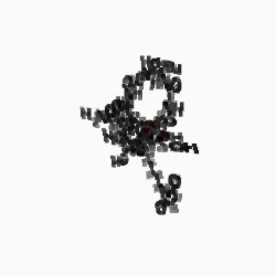 CC[C@H](C)[C@@H]1NC(=O)CNC(=O)[C@H]2Cc3c([nH]c4cc(OCCCCCCN5C(=O)C=CC5=O)ccc34)[S+]([O-])C[C@H](NC(=O)CNC1=O)C(=O)N[C@@H](CC(N)=O)C(O)N1C[C@H](O)C[C@H]1C(=O)N[C@@H]([C@@H](C)[C@@H](O)CO)C(=O)N2